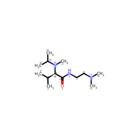 CC(C)[C@H](C(=O)NCCN(C)C)N(C)C(C)C